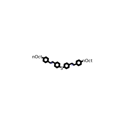 CCCCCCCCc1ccc(/C=C/c2ccc(Sc3ccc(/C=C/c4ccc(CCCCCCCC)cc4)cc3)cc2)cc1